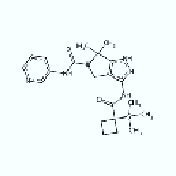 CC1(C)c2[nH]nc(NC(=O)C3(S(C)(C)C)CCC3)c2CN1C(=O)Nc1cccnc1